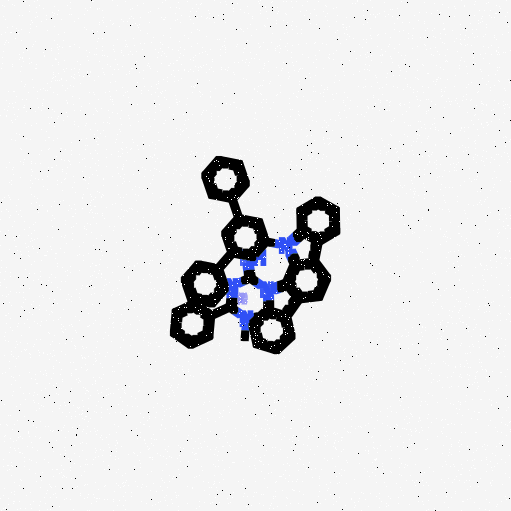 CN(C)/C(=N\C(=N)n1c2ccccc2c2ccc3c4ccccc4n(-c4cc(-c5ccccc5)cc(-c5ccccc5)c4)c3c21)c1ccccc1